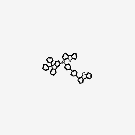 c1ccc(C2(c3ccccc3)c3ccccc3-c3cc(N(c4ccc(-c5ccc(-c6cccc7c6oc6ccccc67)cc5)cc4)c4cccc5c4sc4ccccc45)ccc32)cc1